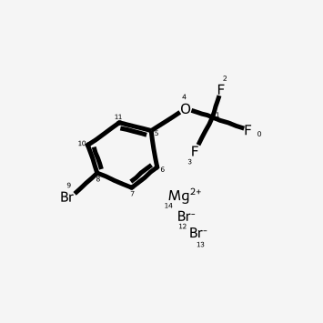 FC(F)(F)Oc1ccc(Br)cc1.[Br-].[Br-].[Mg+2]